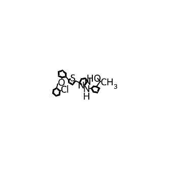 CC(O)c1cccc(Nc2nccc(-c3ccc(-c4ccccc4OCc4ccccc4Cl)s3)n2)c1